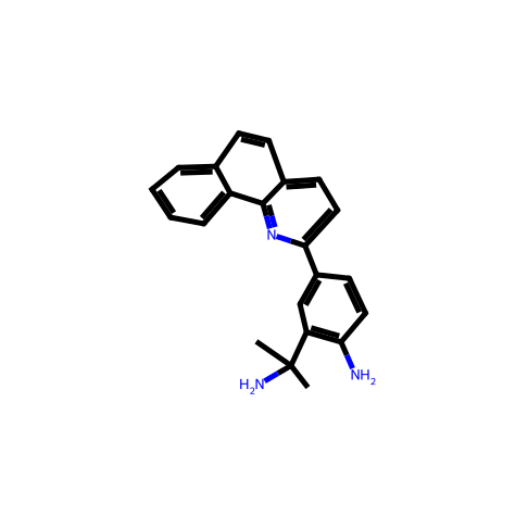 CC(C)(N)c1cc(-c2ccc3ccc4ccccc4c3n2)ccc1N